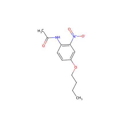 CCCCOc1ccc(NC(C)=O)c([N+](=O)[O-])c1